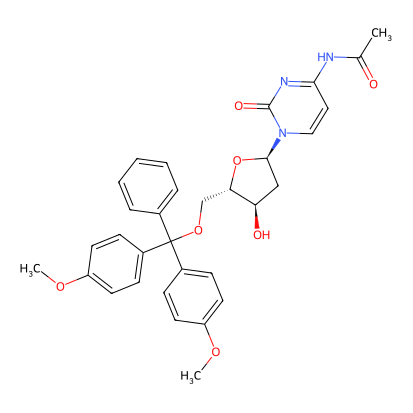 COc1ccc(C(OC[C@@H]2O[C@@H](n3ccc(NC(C)=O)nc3=O)C[C@H]2O)(c2ccccc2)c2ccc(OC)cc2)cc1